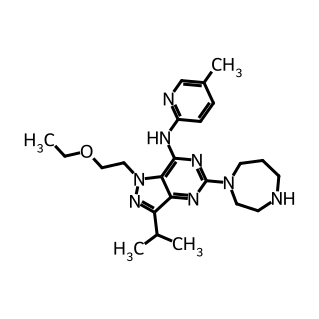 CCOCCn1nc(C(C)C)c2nc(N3CCCNCC3)nc(Nc3ccc(C)cn3)c21